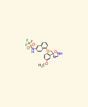 COc1cccc(C2(COc3cccc4cc(NS(=O)(=O)C(F)(F)F)ccc34)N=CNO2)c1